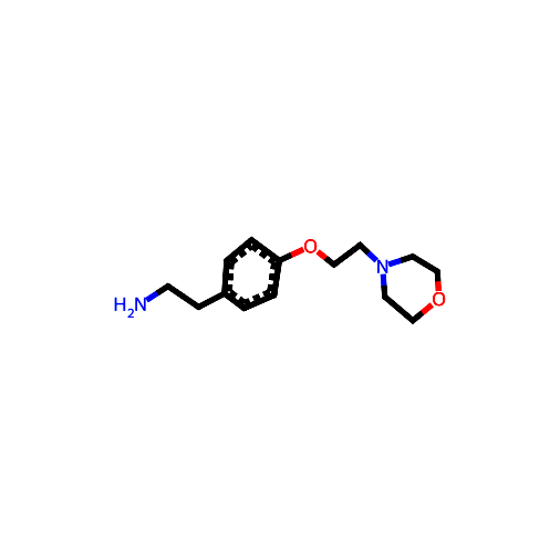 NCCc1ccc(OCCN2CCOCC2)cc1